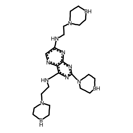 B1CCN(CCNc2cnc3c(NCCN4CCBCC4)nc(N4CCBCC4)nc3n2)CC1